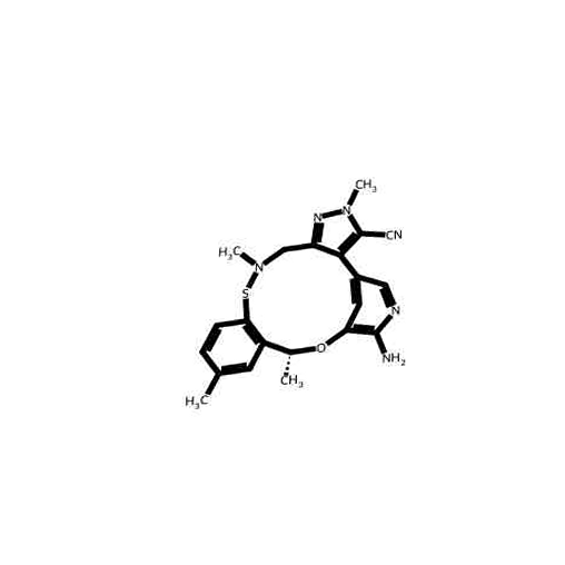 Cc1ccc2c(c1)[C@@H](C)Oc1cc(cnc1N)-c1c(nn(C)c1C#N)CN(C)S2